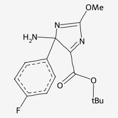 COC1=NC(N)(c2ccc(F)cc2)C(C(=O)OC(C)(C)C)=N1